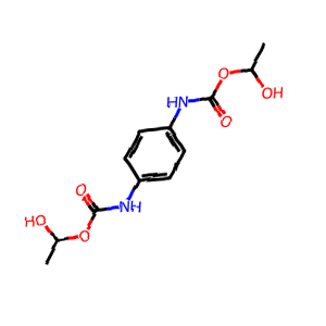 CC(O)OC(=O)Nc1ccc(NC(=O)OC(C)O)cc1